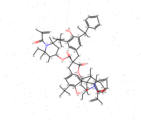 C=C(C)C(=O)N1C(C)(CC)CC(OC(=O)C(Cc2cc(C(C)(C)C)c(O)c(C(C)(C)c3ccccc3)c2)(Cc2cc(C(C)(C)C)c(O)c(C(C)(C)c3ccccc3)c2)C(=O)OC2CC(C)(CC)N(C(=O)C(=C)C)C(C)(CC)C2C)C(C)C1(C)CC